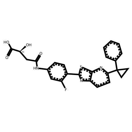 O=C(C[C@H](O)C(=O)O)Nc1ccc(-c2nc3ccc(C4(c5ccccc5)CC4)nc3s2)c(F)c1